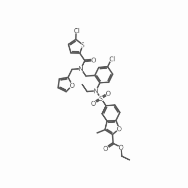 CCOC(=O)c1oc2ccc(S(=O)(=O)N(CC)c3ccc(Cl)cc3CN(Cc3ccco3)C(=O)c3ccc(Cl)s3)cc2c1C